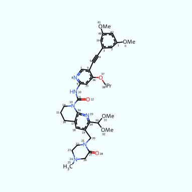 COc1cc(C#Cc2cnc(NC(=O)N3CCCc4cc(CN5CCN(C)CC5=O)c(C(OC)OC)nc43)cc2OC(C)C)cc(OC)c1